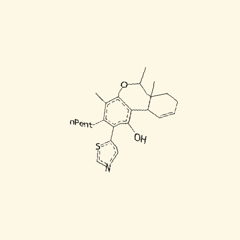 CCCCCc1c(C)c2c(c(O)c1-c1cncs1)C1C=CCCC1(C)C(C)O2